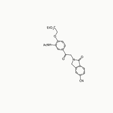 CCOC(=O)COc1ccc(C(=O)CN2Cc3cc(C#N)ccc3C2=O)cc1NC(C)=O